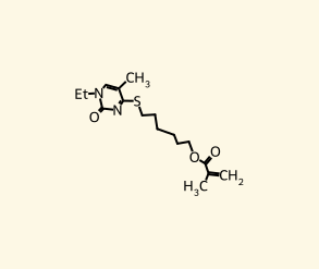 C=C(C)C(=O)OCCCCCCSc1nc(=O)n(CC)cc1C